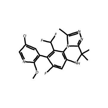 COc1ncc(Cl)cc1-c1c(F)cc2c(c1C(F)F)-n1c(C)nnc1C(C)(C)N2